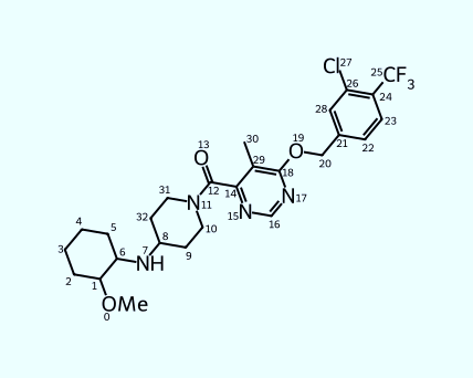 COC1CCCCC1NC1CCN(C(=O)c2ncnc(OCc3ccc(C(F)(F)F)c(Cl)c3)c2C)CC1